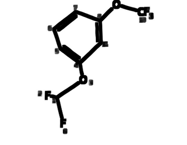 FC(F)Oc1cc[c]c(OC(F)(F)F)c1